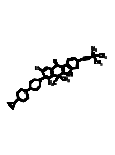 CCc1cc2c(cc1N1CCC(N3CCN(C4CC4)CC3)CC1)C(C)(C)c1[nH]c3cc(C#C[Si](C)(C)C)ccc3c1C2=O